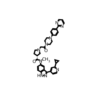 CN(C(=O)[C@@H]1CCN(CC(=O)N2CCN(c3ccc(-c4ncccn4)cc3)CC2)C1)c1ccc2[nH]nc(-c3ccnc(C4CC4)c3)c2c1